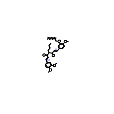 CCCCC(C(=O)/C=C/c1ccc(OC)c(OC)c1)C(=O)/C=C/c1ccc(OC)c(OCN=[N+]=[N-])c1